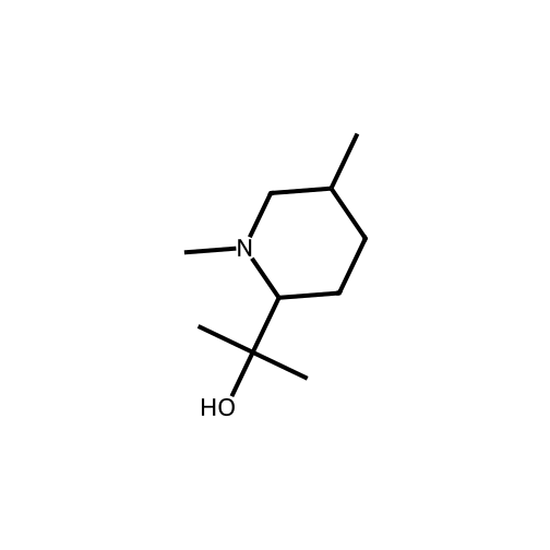 CC1CCC(C(C)(C)O)N(C)C1